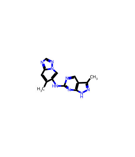 Cc1cc2ncnn2cc1Nc1ncc2c(C)n[nH]c2n1